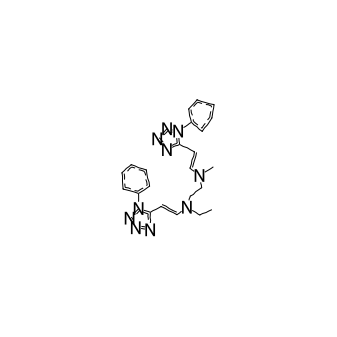 CCN(C=Cc1nnnn1-c1ccccc1)CCN(C)C=Cc1nnnn1-c1ccccc1